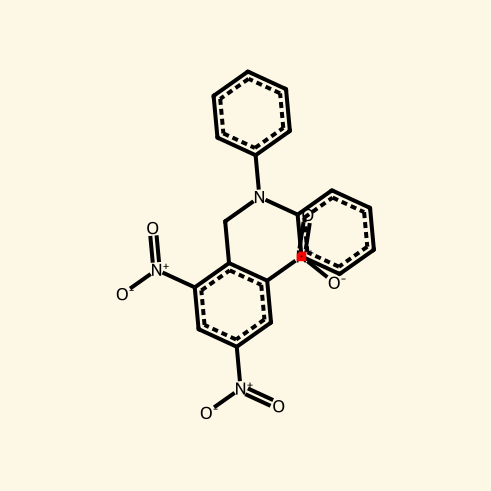 O=[N+]([O-])c1cc([N+](=O)[O-])c(CN(c2ccccc2)c2ccccc2)c([N+](=O)[O-])c1